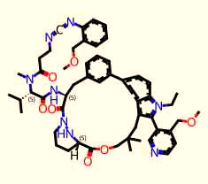 CCn1c(-c2cnccc2COC)c2c3cc(ccc31)-c1cccc(c1)C[C@H](NC(=O)[C@H](C(C)C)N(C)C(=O)CCN=C=Nc1ccccc1COC)C(=O)N1CCC[C@H](N1)C(=O)OCC(C)(C)C2